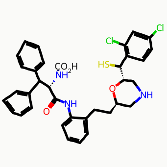 O=C(O)N[C@H](C(=O)Nc1ccccc1CC[C@@H]1CNC[C@@H](C(S)c2ccc(Cl)cc2Cl)O1)C(c1ccccc1)c1ccccc1